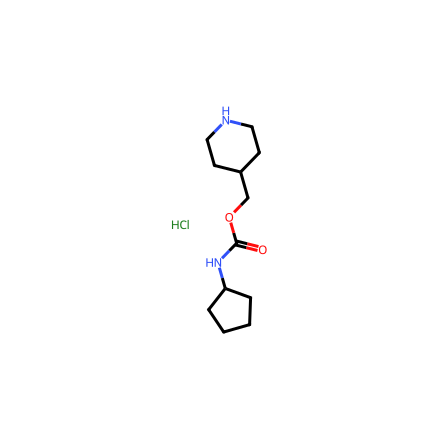 Cl.O=C(NC1CCCC1)OCC1CCNCC1